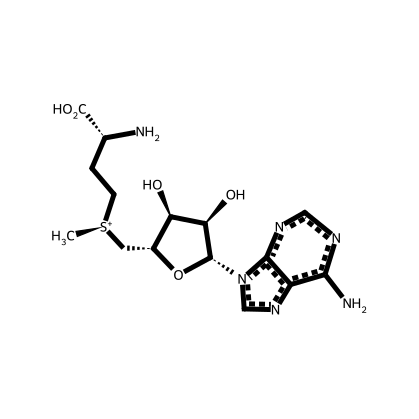 C[S@@+](CC[C@@H](N)C(=O)O)C[C@H]1O[C@@H](n2cnc3c(N)ncnc32)[C@H](O)[C@@H]1O